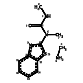 CN.CNC(=O)N(C)c1nc2ccccc2s1